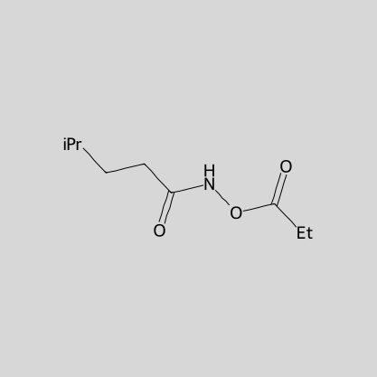 CCC(=O)ONC(=O)CCC(C)C